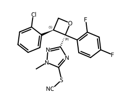 Cn1nc([C@@]2(c3ccc(F)cc3F)OC[C@@H]2c2ccccc2Cl)nc1SC#N